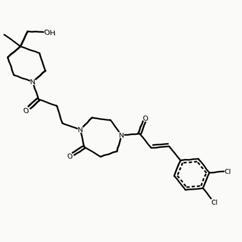 CC1(CO)CCN(C(=O)CCN2CCN(C(=O)C=Cc3ccc(Cl)c(Cl)c3)CCC2=O)CC1